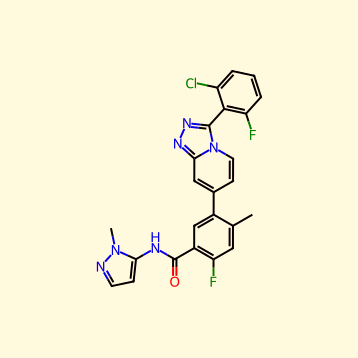 Cc1cc(F)c(C(=O)Nc2ccnn2C)cc1-c1ccn2c(-c3c(F)cccc3Cl)nnc2c1